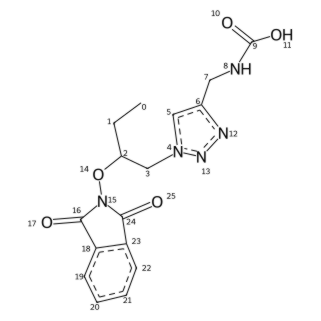 CCC(Cn1cc(CNC(=O)O)nn1)ON1C(=O)c2ccccc2C1=O